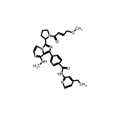 CCc1ccnc(NC(=O)c2ccc(-c3nc(C4CCCN4C(=O)/C=C/COC)n4ccnc(NC)c34)cc2)c1